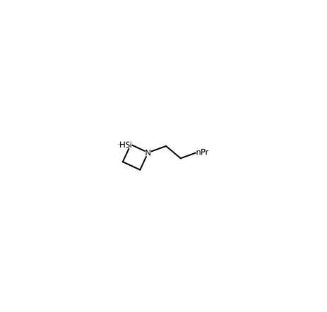 CCCCCN1CC[SiH]1